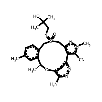 Cc1ccc2c(c1)[C@@H](C)Oc1cc(nnc1N)-c1c(nn(C)c1C#N)CS(=O)(=NCC(C)(C)O)C2